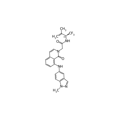 C=C(C)[C@H](NC(=O)Cn1ccc2cccc(Nc3ccc4c(cnn4C)c3)c2c1=O)C(F)(F)F